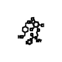 CCCN(CCOc1c(Cl)cc(Cl)cc1Cl)C(=O)n1ccnc1.OCC1CCC(CO)CC1